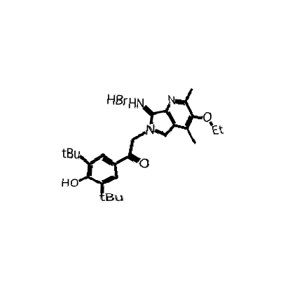 Br.CCOc1c(C)nc2c(c1C)CN(CC(=O)c1cc(C(C)(C)C)c(O)c(C(C)(C)C)c1)C2=N